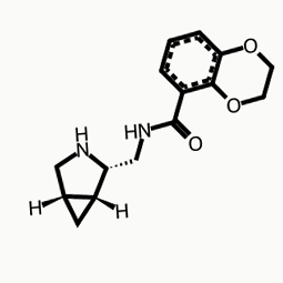 O=C(NC[C@H]1NC[C@H]2C[C@H]21)c1cccc2c1OCCO2